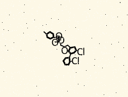 Cc1ccc(S(=O)(=O)OCC2Cc3cc(Cl)cc(-c4ccccc4Cl)c3O2)cc1